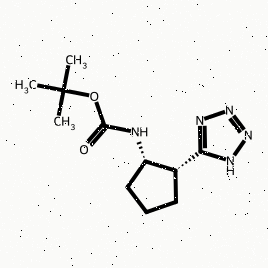 CC(C)(C)OC(=O)N[C@H]1CCC[C@H]1c1nnn[nH]1